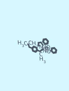 CC(C)Cc1ccc(C(C)/C(=N/P(=O)(Oc2ccccc2)Oc2ccccc2)N2CCCC2)cc1